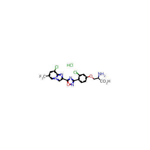 Cl.NC(COc1ccc(-c2noc(-c3cn4cc(C(F)(F)F)cc(Cl)c4n3)n2)c(Cl)c1)C(=O)O